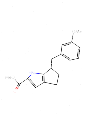 COC(=O)c1cc2c([nH]1)C(Cc1cccc(OC)c1)CC2